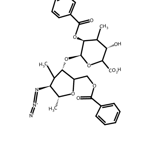 CC1[C@H](O[C@@H]2OC(C(=O)O)[C@@H](O)C(C)[C@@H]2OC(=O)c2ccccc2)C(COC(=O)c2ccccc2)O[C@H](C)[C@H]1N=[N+]=[N-]